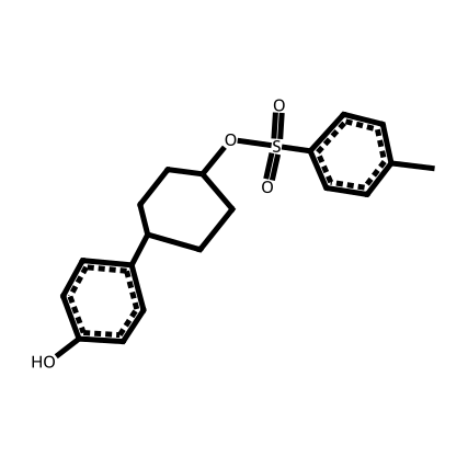 Cc1ccc(S(=O)(=O)OC2CCC(c3ccc(O)cc3)CC2)cc1